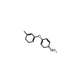 CC1=CC(OC2=CCC(N)C=C2)=CCC1